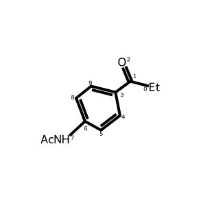 CCC(=O)c1ccc(NC(C)=O)cc1